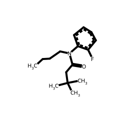 CCCCN(C(=O)CC(C)(C)C)c1ccccc1F